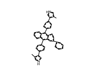 Cc1c[nH]cc1-c1ccc(-c2c3ccccc3c(-c3ccc(-c4c[nH]cc4C)cc3)c3cc(-c4ccccc4)ccc23)cc1